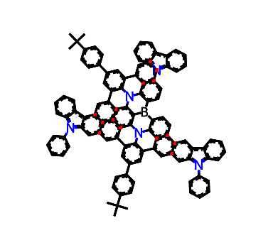 CC(C)(C)c1ccc(-c2cc(-c3ccccc3)c(N3c4cc(-c5ccc6c(c5)c5ccccc5n6-c5ccccc5)ccc4B4c5ccc(-n6c7ccccc7c7ccccc76)cc5N(c5c(-c6ccccc6)cc(-c6ccc(C(C)(C)C)cc6)cc5-c5ccccc5)c5cc(-c6ccc7c(c6)c6ccccc6n7-c6ccccc6)cc3c54)c(-c3ccccc3)c2)cc1